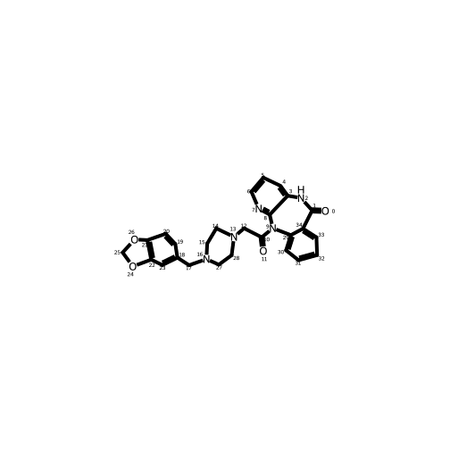 O=C1Nc2cccnc2N(C(=O)CN2CCN(Cc3ccc4c(c3)OCO4)CC2)c2ccccc21